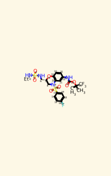 CCNS(=O)(=O)NC[C@H]1CN(S(=O)(=O)c2ccc(F)cc2)c2cc(NC(=O)OC(C)(C)C(F)(F)F)ccc2O1